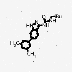 CCC(C)CNC(=O)Nc1n[nH]c2cc(-c3cc(C)cc(C)c3)ccc12